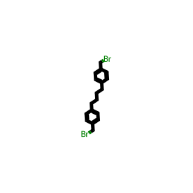 BrCc1ccc(CCCCc2ccc(CBr)cc2)cc1